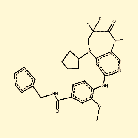 COc1cc(C(=O)NCc2ccccc2)ccc1Nc1ncc2c(n1)N(C1CCCC1)CC(F)(F)C(=O)N2C